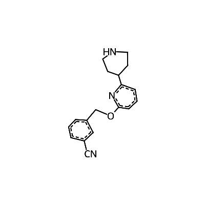 N#Cc1cccc(COc2cccc(C3CCNCC3)n2)c1